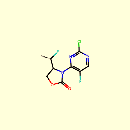 C[C@H](F)C1COC(=O)N1c1nc(Cl)ncc1F